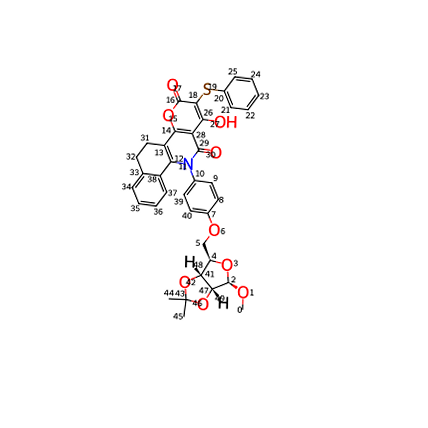 CO[C@@H]1O[C@H](COc2ccc(-n3c4c(c5oc(=O)c(Sc6ccccc6)c(O)c5c3=O)CCc3ccccc3-4)cc2)[C@H]2OC(C)(C)O[C@@H]12